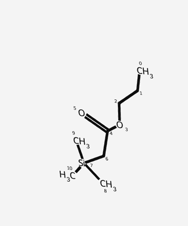 CCCOC(=O)C[Si](C)(C)C